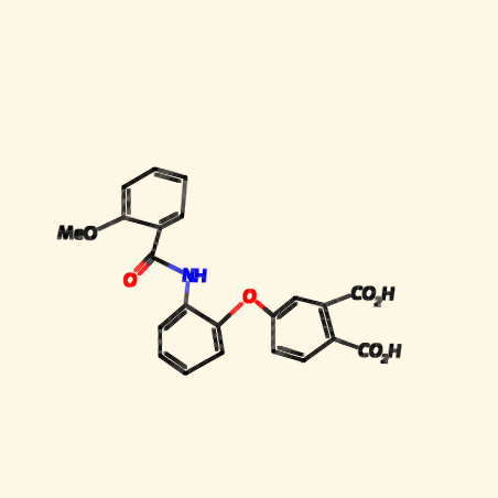 COc1ccccc1C(=O)Nc1ccccc1Oc1ccc(C(=O)O)c(C(=O)O)c1